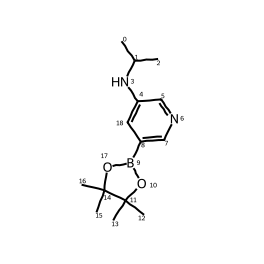 CC(C)Nc1cncc(B2OC(C)(C)C(C)(C)O2)c1